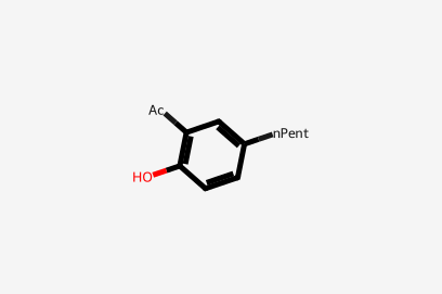 CCCCCc1ccc(O)c(C(C)=O)c1